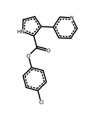 O=C(Oc1ccc(Cl)cc1)c1[nH]ccc1-c1cccnc1